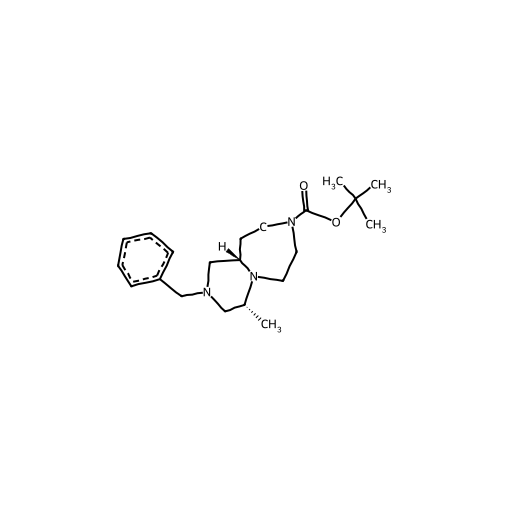 C[C@@H]1CN(Cc2ccccc2)C[C@@H]2CCN(C(=O)OC(C)(C)C)CCN21